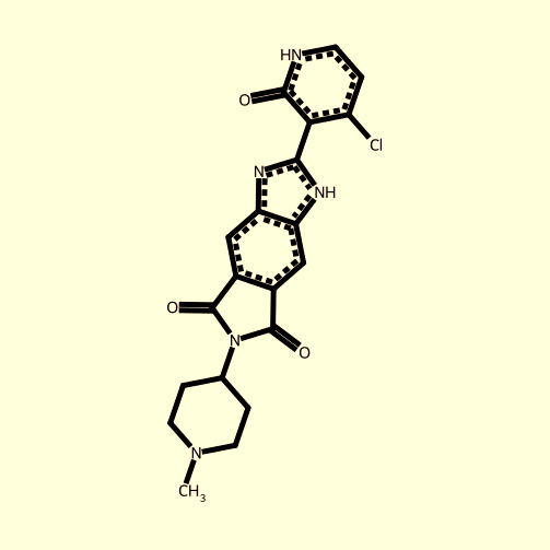 CN1CCC(N2C(=O)c3cc4nc(-c5c(Cl)cc[nH]c5=O)[nH]c4cc3C2=O)CC1